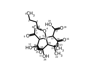 CCCC[O][Zr]([CH](C(C)=O)C(=O)O)([CH](C(C)=O)C(=O)O)[CH](C(C)=O)C(=O)O